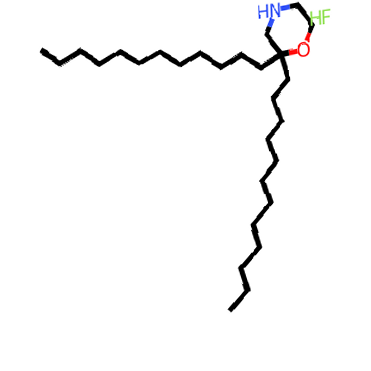 CCCCCCCCCCCCC1(CCCCCCCCCCCC)CNCCO1.F